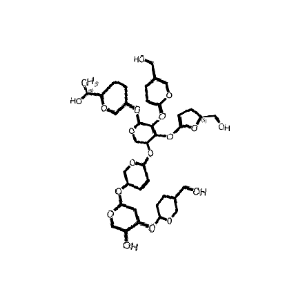 C[C@H](O)C1CCC(OC2OCC(OC3CCC(OC4CC(OC5CCC(CO)CO5)C(O)CO4)CO3)C(OC3CC[C@@H](CO)O3)C2OC2CCC(CO)CO2)CO1